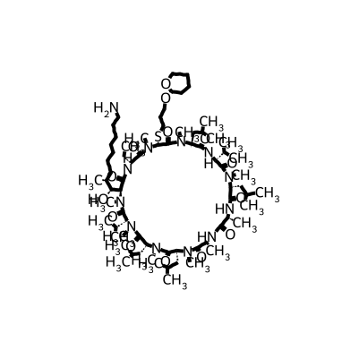 CC[C@H]1NC(=O)[C@H]([C@H](O)[C@H](C)CCCCCCCN)N(C)C(=O)[C@@H](C(C)C)N(C)C(=O)[C@@H](CC(C)C)N(C)C(=O)[C@@H](CC(C)C)N(C)C(=O)[C@H](C)NC(=O)[C@@H](C)NC(=O)[C@@H](CC(C)C)N(C)C(=O)[C@@H](C(C)C)NC(=O)[C@H](CC(C)C)N(C)C(=O)[C@@H](SCCCOC2CCCCO2)N(C)C1=O